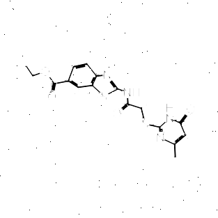 CCOC(=O)c1ccc2nc(NC(=O)CSc3nc(C)cc(=O)[nH]3)sc2c1